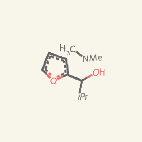 CC(C)C(O)c1ccco1.CNC